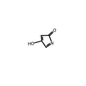 O=C1[C]=C(O)C=N1